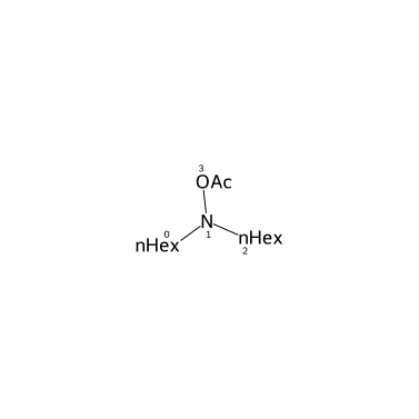 CCCCCCN(CCCCCC)OC(C)=O